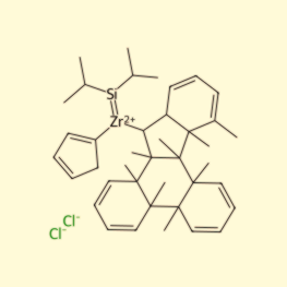 CC1=CC=CC2[CH]([Zr+2]([C]3=CC=CC3)=[Si](C(C)C)C(C)C)C3(C)C4(C)C=CC=CC4(C)C4(C)C=CC=CC4(C)C3(C)C12C.[Cl-].[Cl-]